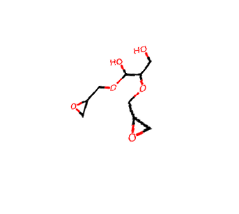 OCC(OCC1CO1)C(O)OCC1CO1